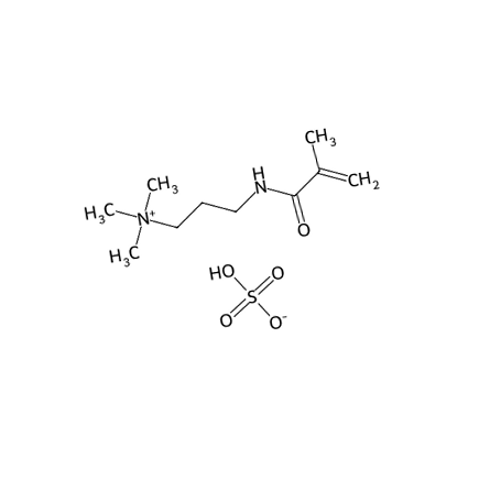 C=C(C)C(=O)NCCC[N+](C)(C)C.O=S(=O)([O-])O